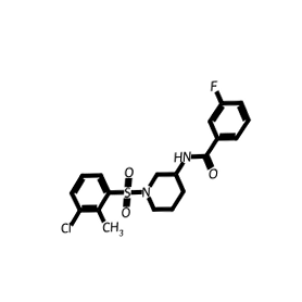 Cc1c(Cl)cccc1S(=O)(=O)N1CCCC(NC(=O)c2cccc(F)c2)C1